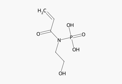 C=CC(=O)N(CCO)P(=O)(O)O